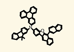 CC1(C)c2ccccc2-c2ccc(N(c3ccc4c(c3)oc3c(-c5ccc6ccccc6c5)c5ccccc5cc34)c3ccc4c5ccccc5c5ccccc5c4c3)cc21